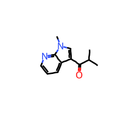 CC(C)C(=O)c1cn(C)c2ncccc12